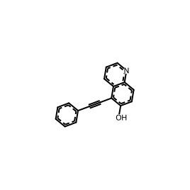 Oc1ccc2ncccc2c1C#Cc1ccccc1